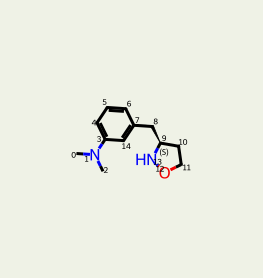 CN(C)c1cccc(C[C@H]2CCON2)c1